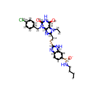 CCCCN[S+]([O-])c1ccc2nc(SCc3nc4c(c(=O)[nH]c(=O)n4Cc4ccc(Cl)cc4)n3CC)[nH]c2c1